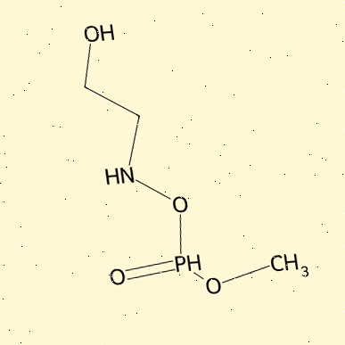 CO[PH](=O)ONCCO